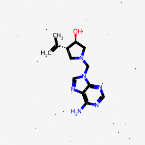 C=C(C)[C@H]1CN(Cn2cnc3c(N)ncnc32)C[C@@H]1O